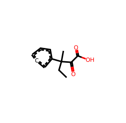 CCC(C)(C(=O)C(=O)O)c1ccccc1